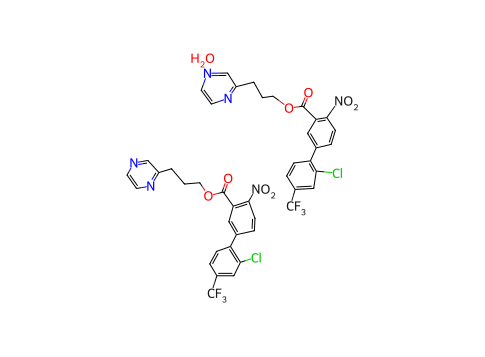 O.O=C(OCCCc1cnccn1)c1cc(-c2ccc(C(F)(F)F)cc2Cl)ccc1[N+](=O)[O-].O=C(OCCCc1cnccn1)c1cc(-c2ccc(C(F)(F)F)cc2Cl)ccc1[N+](=O)[O-]